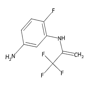 C=C(Nc1cc(N)ccc1F)C(F)(F)F